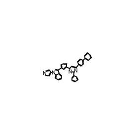 c1ccc(-c2ccc(-c3cc(-c4cccc(-c5cn(-c6ccncc6)c6ccccc56)c4)nc(-c4ccccc4)n3)cc2)cc1